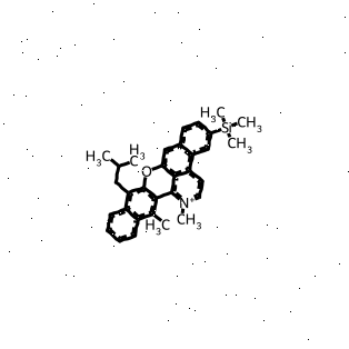 Cc1c2c(c(CC(C)C)c3ccccc13)Oc1cc3ccc([Si](C)(C)C)cc3c3cc[n+](C)c-2c13